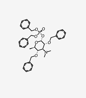 C[C@H]1O[C@H](OP(=O)(OCc2ccccc2)OCc2ccccc2)[C@H](OCc2ccccc2)[C@@H](N(C)C)[C@@H]1OCc1ccccc1